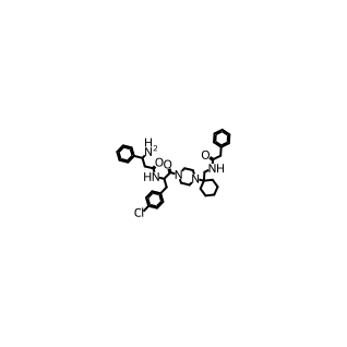 NC(CC(=O)NC(Cc1ccc(Cl)cc1)C(=O)N1CCN(C2(CNC(=O)Cc3ccccc3)CCCCC2)CC1)c1ccccc1